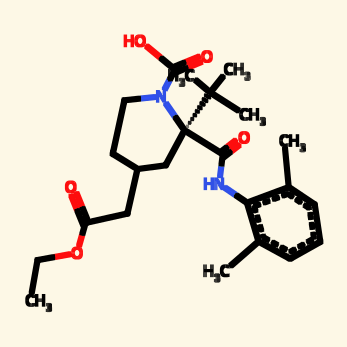 CCOC(=O)CC1CCN(C(=O)O)[C@](C(=O)Nc2c(C)cccc2C)(C(C)(C)C)C1